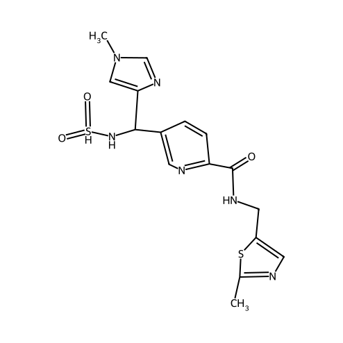 Cc1ncc(CNC(=O)c2ccc(C(N[SH](=O)=O)c3cn(C)cn3)cn2)s1